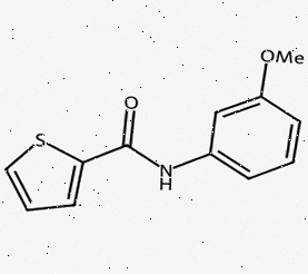 COc1cccc(NC(=O)c2[c]ccs2)c1